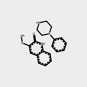 CCCOc1cc2ccccc2[nH]c1=O.c1ccc(N2CCNCC2)cc1